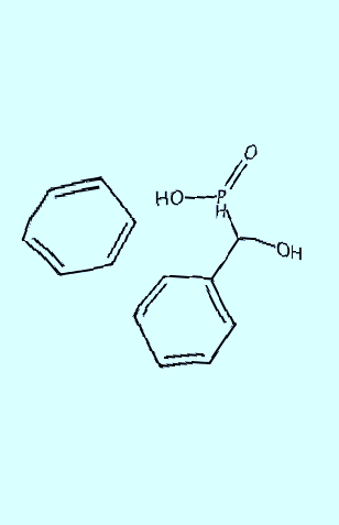 O=[PH](O)C(O)c1ccccc1.c1ccccc1